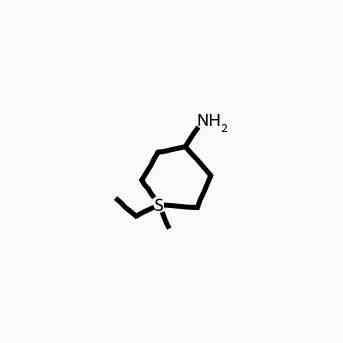 CCS1(C)CCC(N)CC1